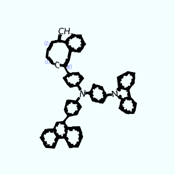 C=C1/C=C\C=C/C/C(c2ccc(N(c3ccc(-c4cc5ccccc5c5ccccc45)cc3)c3ccc(-n4c5ccccc5c5ccccc54)cc3)cc2)=C\c2ccccc21